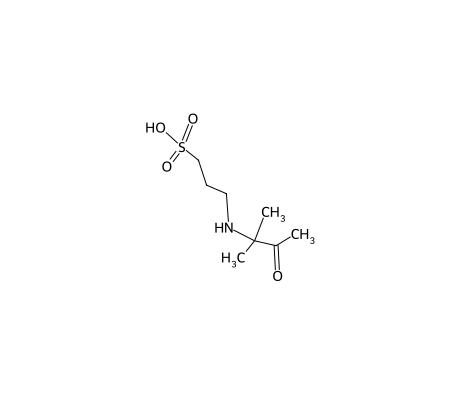 CC(=O)C(C)(C)NCCCS(=O)(=O)O